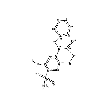 COc1cc2c(cc1S(N)(=O)=O)CCC(=O)N2Cc1ccccc1